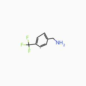 NCc1c[c]c(C(F)(F)F)cc1